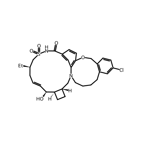 CC[C@@H]1C/C=C/[C@H](O)[C@@H]2CC[C@H]2CN2CCCCc3cc(Cl)ccc3COc3ccc(cc32)C(=O)NS(=O)(=O)C1